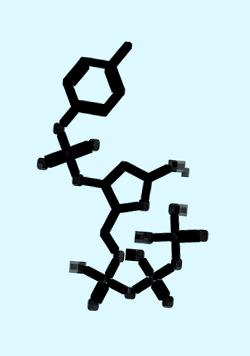 BC1CC(OS(=O)(=O)Oc2ccc(C)cc2)C(COP(=O)(S)OP(=O)(O)OP(=O)(O)O)O1